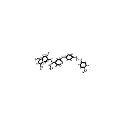 COc1ccc(COCc2ccc(Cc3cc(N(C=O)Cc4cc5c(Cl)c[nH]c5cc4F)ccn3)cc2)cc1